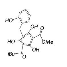 CCC(C)C(=O)c1c(O)c(Cc2ccccc2O)c(O)c(C(=O)OC)c1O